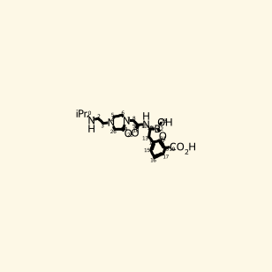 CC(C)NCCN1CCN(CC(=O)N[C@H]2Cc3cccc(C(=O)O)c3OB2O)C(=O)C1